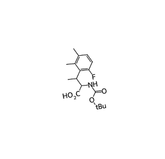 Cc1ccc(F)c(C(C)C(NC(=O)OC(C)(C)C)C(=O)O)c1C